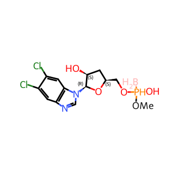 B[PH](O)(OC)OC[C@@H]1C[C@H](O)[C@H](n2cnc3cc(Cl)c(Cl)cc32)O1